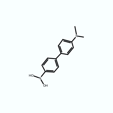 CN(C)c1ccc(-c2ccc(N(O)O)cc2)cc1